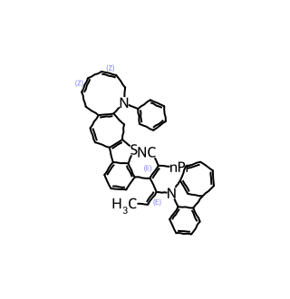 C/C=C(\C(=C(\C#N)CCC)c1cccc2c3c(sc12)CC1=C(C=C3)C/C=C\C=C/CN1c1ccccc1)N1C2=CC(C=CC=C2)c2ccccc21